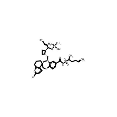 C=CCCC(C)S(=O)(=O)NC(=O)c1ccc2c(c1)N(C[C@@H]1CC[C@H]1C(/C=C/CCC)O[Si](C)(C)C(C)(C)C)C[C@@]1(CCCc3nc(Cl)ccc31)CO2